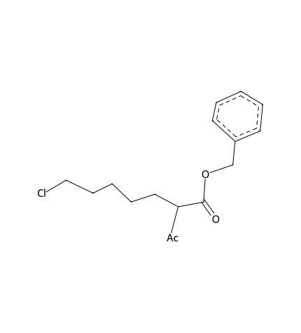 CC(=O)C(CCCCCCl)C(=O)OCc1ccccc1